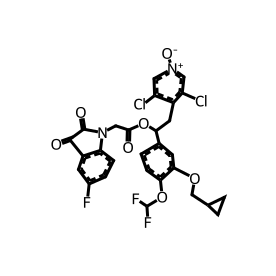 O=C(CN1C(=O)C(=O)c2cc(F)ccc21)OC(Cc1c(Cl)c[n+]([O-])cc1Cl)c1ccc(OC(F)F)c(OCC2CC2)c1